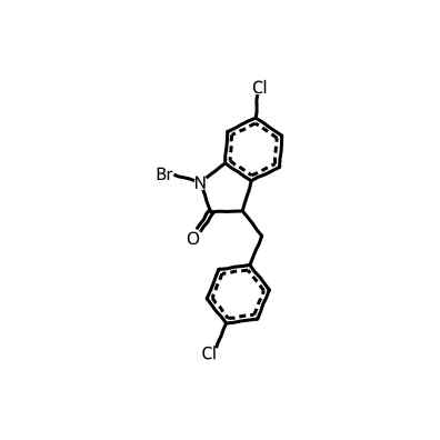 O=C1C(Cc2ccc(Cl)cc2)c2ccc(Cl)cc2N1Br